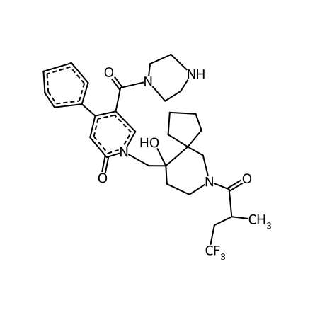 CC(CC(F)(F)F)C(=O)N1CCC(O)(Cn2cc(C(=O)N3CCNCC3)c(-c3ccccc3)cc2=O)C2(CCCC2)C1